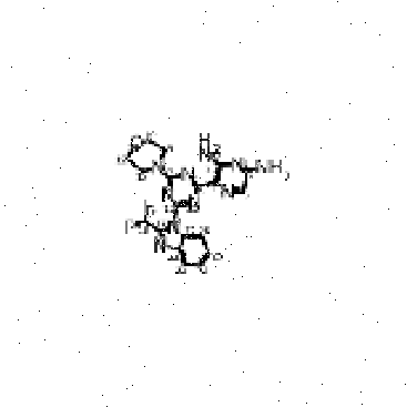 Nc1cnc(-c2nc(N3CCOCC3)nc(-n3c(C(F)F)nc4ccccc43)n2)c(N)n1